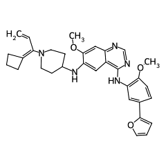 C=CC(=C1CCC1)N1CCC(Nc2cc3c(Nc4cc(-c5ccco5)ccc4OC)ncnc3cc2OC)CC1